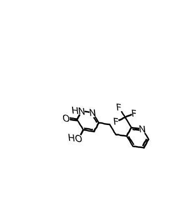 O=c1[nH]nc(CCc2cccnc2C(F)(F)F)cc1O